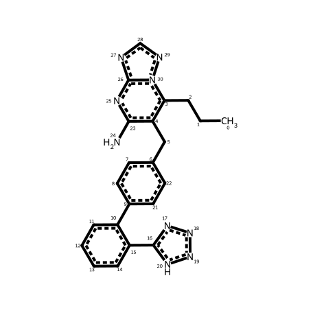 CCCc1c(Cc2ccc(-c3ccccc3-c3nnn[nH]3)cc2)c(N)nc2ncnn12